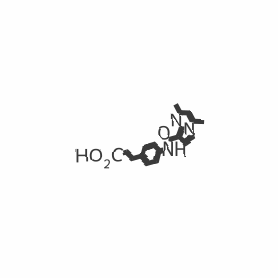 Cc1cc(C)n2ccc(C(=O)Nc3ccc(CCC(=O)O)cc3)c2n1